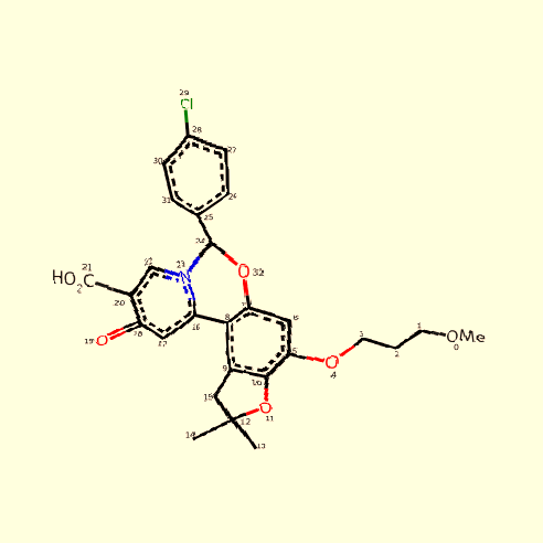 COCCCOc1cc2c(c3c1OC(C)(C)C3)-c1cc(=O)c(C(=O)O)cn1C(c1ccc(Cl)cc1)O2